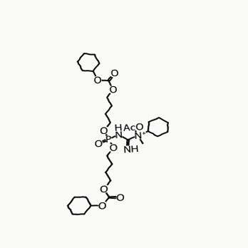 CC(=O)O[N+](C)(C(=N)NP(=O)(OCCCCOC(=O)OC1CCCCC1)OCCCCOC(=O)OC1CCCCC1)C1CCCCC1